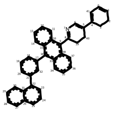 C1=CCCC(C2=CN=C(c3c4ccccc4c(-c4cccc(-c5cccc6ccccc56)c4)c4ccccc34)CC2)=C1